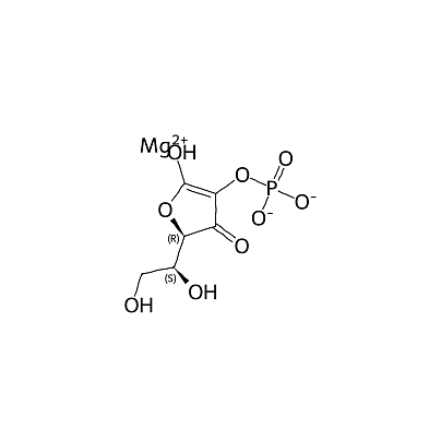 O=C1C(OP(=O)([O-])[O-])=C(O)O[C@@H]1[C@@H](O)CO.[Mg+2]